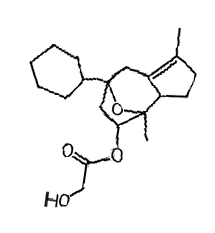 CC1=C2CC3(C4CCCCC4)CC(OC(=O)CO)C(C)(O3)C2CC1